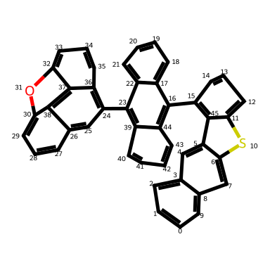 c1ccc2cc3c(cc2c1)sc1cccc(-c2c4ccccc4c(-c4cc5cccc6oc7cccc4c7c56)c4ccccc24)c13